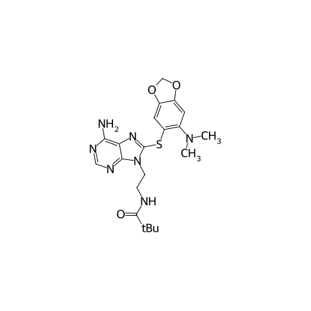 CN(C)c1cc2c(cc1Sc1nc3c(N)ncnc3n1CCNC(=O)C(C)(C)C)OCO2